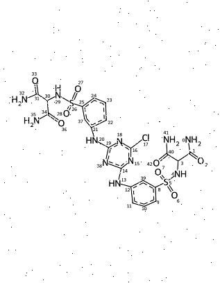 NC(=O)C(NS(=O)(=O)c1cccc(Nc2nc(Cl)nc(Nc3cccc(S(=O)(=O)NC(C(N)=O)C(N)=O)c3)n2)c1)C(N)=O